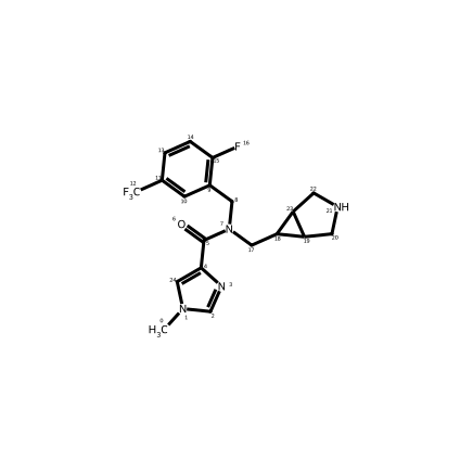 Cn1cnc(C(=O)N(Cc2cc(C(F)(F)F)ccc2F)CC2C3CNCC32)c1